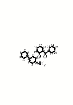 Nc1ccc(-c2ccccc2)cc1Oc1ccccc1C(=O)c1ccccc1